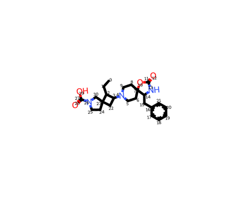 CCC1C(N2CCC3(CC2)OC(=O)NC3Cc2ccccc2)CC12CCN(C(=O)O)C2